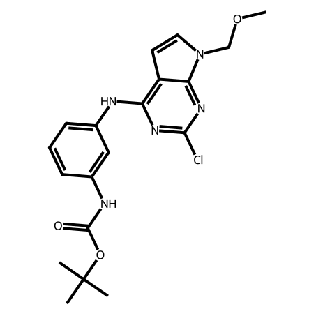 COCn1ccc2c(Nc3cccc(NC(=O)OC(C)(C)C)c3)nc(Cl)nc21